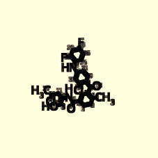 Cc1ccc(C(=O)NC(CO)CC(C)C)cc1C(=O)c1ccc(Nc2ccc(F)cc2F)cc1Cl